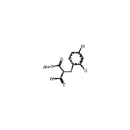 CCC(=O)C(Cc1ccc(Cl)cc1Cl)C(=O)OC